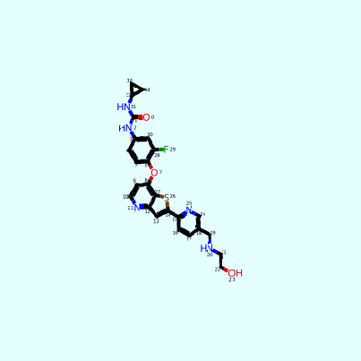 O=C(Nc1ccc(Oc2ccnc3cc(-c4ccc(CNCCO)cn4)sc23)c(F)c1)NC1CC1